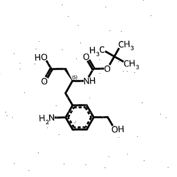 CC(C)(C)OC(=O)N[C@H](CC(=O)O)Cc1cc(CO)ccc1N